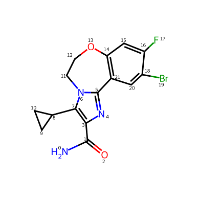 NC(=O)c1nc2n(c1C1CC1)CCOc1cc(F)c(Br)cc1-2